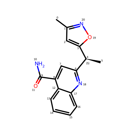 Cc1cc([C@@H](C)c2cc(C(N)=O)c3ccccc3n2)on1